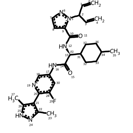 C=CC(C=C)n1nccc1C(=O)N[C@H](C(=O)Nc1cnc(-c2c(C)n[nH]c2C)c(F)c1)C1CCC(C)CC1